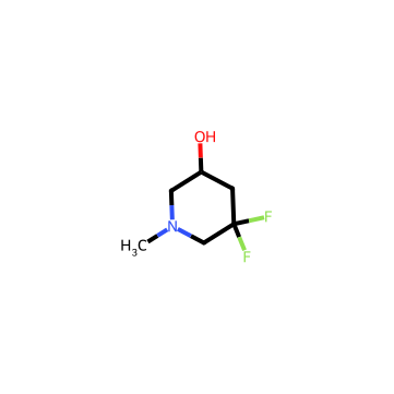 CN1CC(O)CC(F)(F)C1